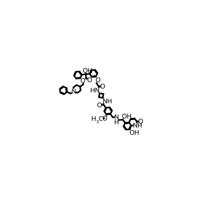 COc1cc(C(=O)NC2CC(NC(=O)COc3cccc(C(O)(C(=O)OCC4CCN(Cc5ccccc5)CC4)c4ccccc4)c3)C2)ccc1CNC[C@H](O)c1ccc(O)c2[nH]c(=O)ccc12